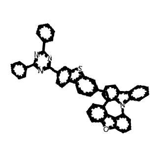 c1ccc(-c2nc(-c3ccccc3)nc(-c3ccc4c(c3)sc3cc(CCc5cccc6oc7cccc(-n8c9ccccc9c9ccccc98)c7c56)ccc34)n2)cc1